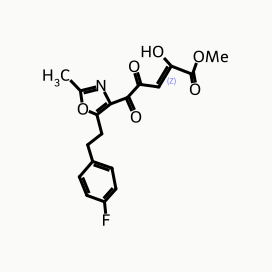 COC(=O)/C(O)=C/C(=O)C(=O)c1nc(C)oc1CCc1ccc(F)cc1